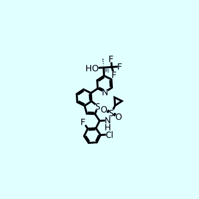 C[C@@](O)(c1ccnc(-c2cccc3cc(C(NS(=O)(=O)C4CC4)c4c(F)cccc4Cl)sc23)c1)C(F)(F)F